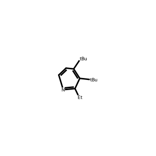 CCc1nccc(C(C)(C)C)c1C(C)(C)C